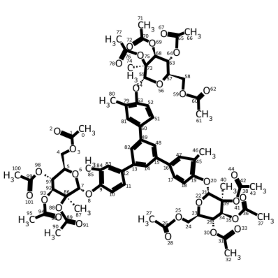 CC(=O)OC[C@H]1O[C@H](Oc2ccc(-c3cc(-c4ccc(O[C@H]5O[C@H](COC(C)=O)[C@@H](OC(C)=O)[C@H](OC(C)=O)[C@]5(C)OC(C)=O)c(C)c4)cc(-c4ccc(O[C@H]5O[C@H](COC(C)=O)[C@@H](OC(C)=O)[C@H](OC(C)=O)[C@]5(C)OC(C)=O)c(C)c4)c3)cc2C)[C@@](C)(OC(C)=O)[C@@H](OC(C)=O)[C@@H]1OC(C)=O